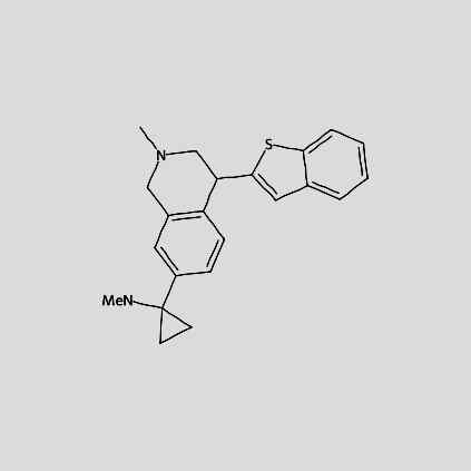 CNC1(c2ccc3c(c2)CN(C)CC3c2cc3ccccc3s2)CC1